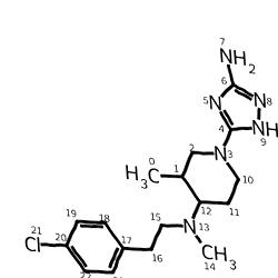 CC1CN(c2nc(N)n[nH]2)CCC1N(C)CCc1ccc(Cl)cc1